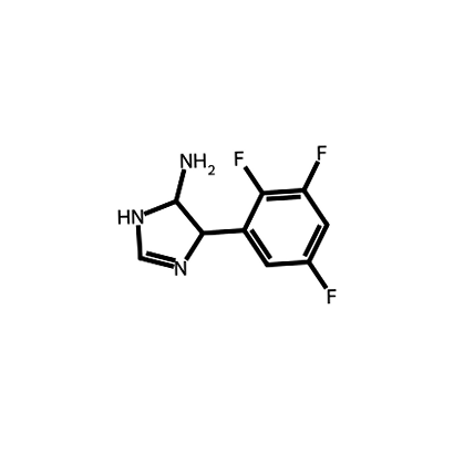 NC1NC=NC1c1cc(F)cc(F)c1F